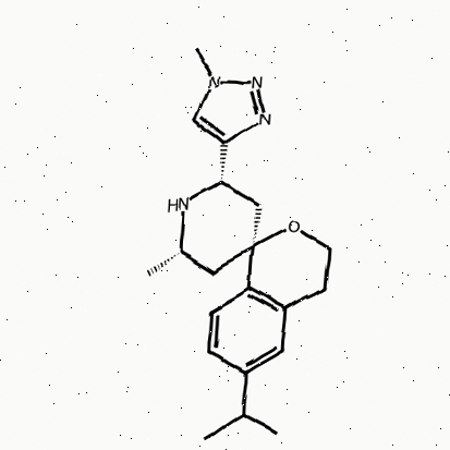 CC(C)c1ccc2c(c1)CCO[C@@]21C[C@@H](c2cn(C)nn2)N[C@@H](C)C1